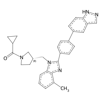 Cc1cccc2c1nc(-c1ccc(-c3ccc4[nH]ncc4c3)cc1)n2C[C@@H]1CCN(C(=O)C2CC2)C1